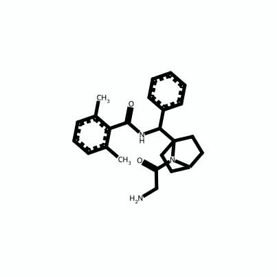 Cc1cccc(C)c1C(=O)NC(c1ccccc1)C12CCC(CC1)N2C(=O)CN